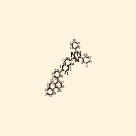 c1ccc(-c2nc(-c3ccccc3)nc(-c3ccc4cc(-c5cccc(-c6cccc7c6ccc6ccccc67)c5)ccc4c3)n2)cc1